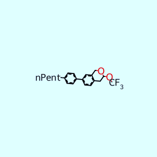 CCCCCc1ccc(-c2ccc3c(c2)COC(OC(F)(F)F)C3)cc1